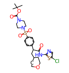 CC(C)(C)OC(=O)N1CCN(S(=O)(=O)c2ccc(C(CC3CCOCC3)C(=O)Nc3ncc(Cl)s3)cc2)CC1